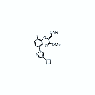 CO/C=C(\Oc1cc(-n2cc(C3CCC3)cn2)ccc1C)C(=O)OC